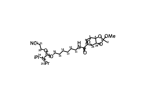 COC1(C)OC2C3CC(C(=O)NCCCCCCOP(OCCC#N)N(C(C)C)C(C)C)C(O3)C2O1